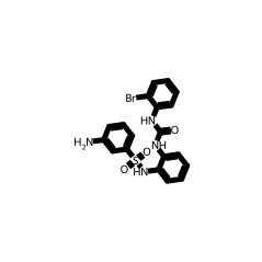 Nc1cccc(S(=O)(=O)Nc2ccccc2NC(=O)Nc2ccccc2Br)c1